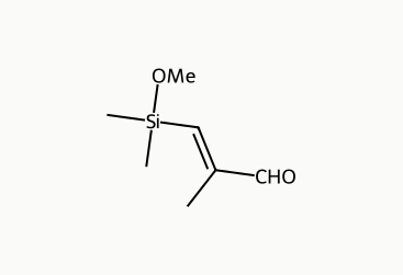 CO[Si](C)(C)C=C(C)C=O